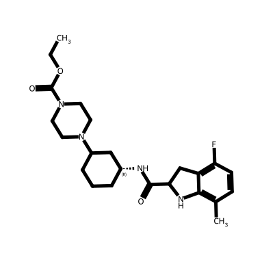 CCOC(=O)N1CCN(C2CCC[C@@H](NC(=O)C3Cc4c(F)ccc(C)c4N3)C2)CC1